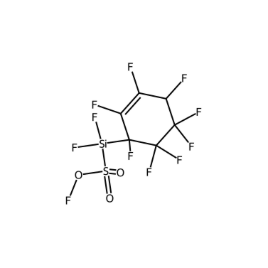 O=S(=O)(OF)[Si](F)(F)C1(F)C(F)=C(F)C(F)C(F)(F)C1(F)F